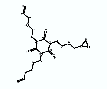 C=CCOCCn1c(=O)n(CCOCC=C)c(=O)n(CCOCC2CO2)c1=O